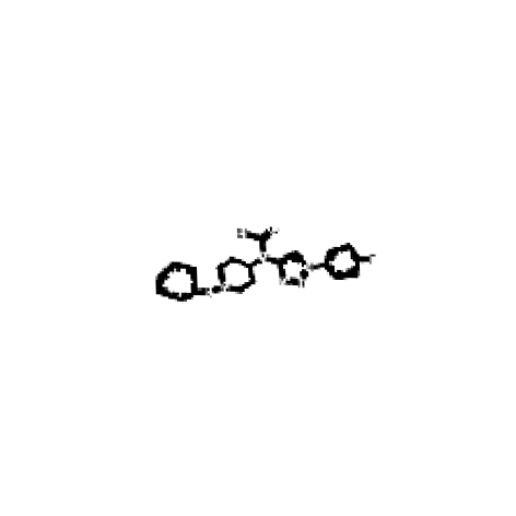 CCC(=O)N(c1cn(-c2ccc(F)cc2)nn1)C1CCN(Cc2ccccc2)CC1